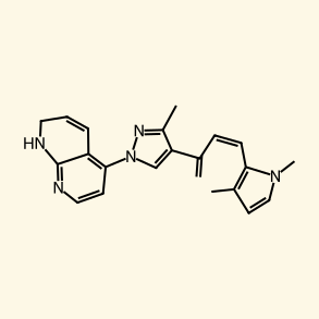 C=C(/C=C\c1c(C)ccn1C)c1cn(-c2ccnc3c2C=CCN3)nc1C